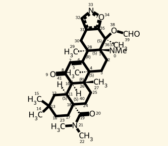 CN[C@@]12CC[C@]3(C)C(=CC(=O)[C@@H]4[C@@H]5CC(C)(C)CC[C@]5(C(=O)N(C)C)CC[C@]43C)[C@@]1(C)Cc1cnoc1[C@@]2(C)OC=O